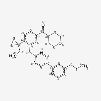 CCCc1ccnc(-c2cnc(Cc3cc(C(=O)C4CCOCC4)ccc3C3(CC)CC3)nc2)c1